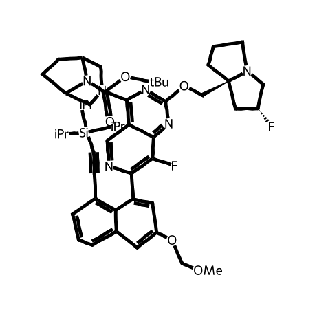 COCOc1cc(-c2ncc3c(N4CC5CCC(C4)N5C(=O)OC(C)(C)C)nc(OC[C@@]45CCCN4C[C@H](F)C5)nc3c2F)c2c(C#C[Si](C(C)C)(C(C)C)C(C)C)cccc2c1